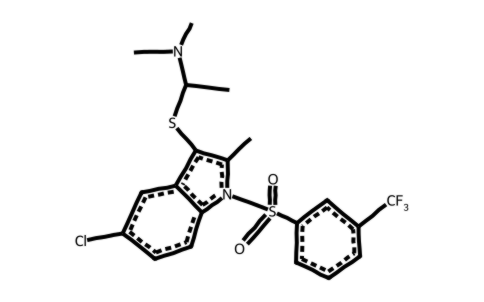 Cc1c(SC(C)N(C)C)c2cc(Cl)ccc2n1S(=O)(=O)c1cccc(C(F)(F)F)c1